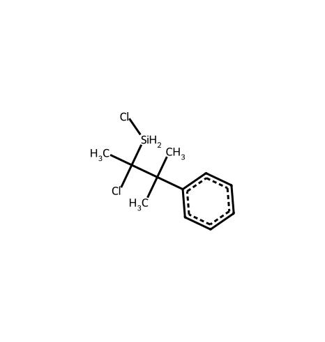 CC(Cl)([SiH2]Cl)C(C)(C)c1ccccc1